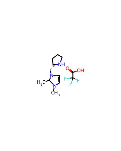 CC1N(C)C=CN1C[C@@H]1CCCN1.O=C(O)C(F)(F)F